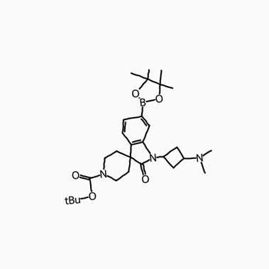 CN(C)C1CC(N2C(=O)C3(CCN(C(=O)OC(C)(C)C)CC3)c3ccc(B4OC(C)(C)C(C)(C)O4)cc32)C1